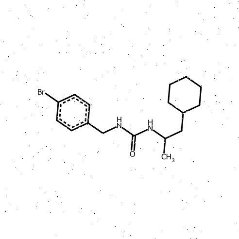 CC(CC1CCCCC1)NC(=O)NCc1[c]cc(Br)cc1